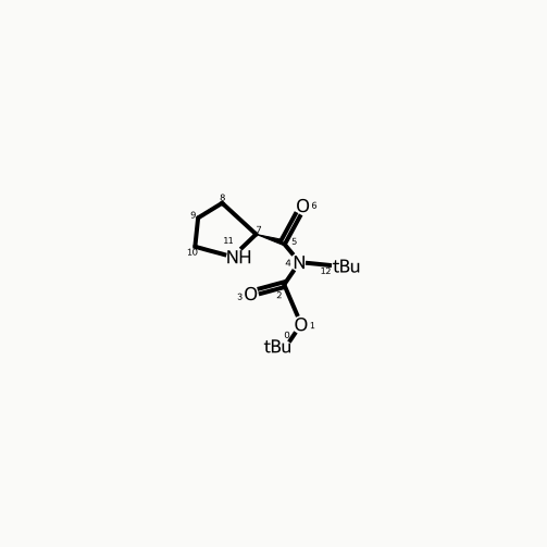 CC(C)(C)OC(=O)N(C(=O)[C@@H]1CCCN1)C(C)(C)C